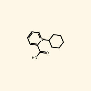 O=C(O)c1cccc[n+]1C1CCCCC1